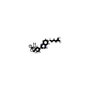 C=C(/C=C1/CC[C@H](CCCC=C(C)C)C/C1=C/C)[C@H]1CC[C@]2(COC(=O)N2)C1